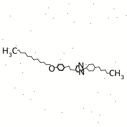 CCCCCCCCCCCCOc1ccc(CCc2cnc(C3CCC(CCCCC)CC3)nc2)cc1